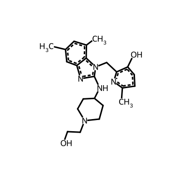 Cc1cc(C)c2c(c1)nc(NC1CCN(CCO)CC1)n2Cc1nc(C)ccc1O